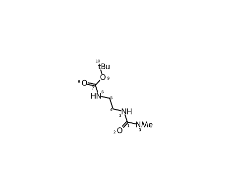 CNC(=O)NCCNC(=O)OC(C)(C)C